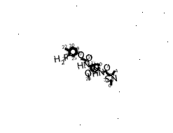 Cc1nc(C)c(C(=O)NC23CC(=C(NC(=O)COc4ccc(C)c(P)c4)C(OI)C2)C3)s1